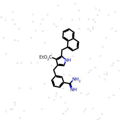 CCOC(=O)c1c(Cc2cccc(C(=N)N)c2)c[nH]c1Cc1cccc2ccccc12